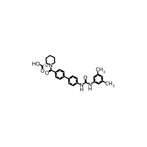 Cc1cc(C)cc(NC(=O)Nc2ccc(-c3ccc(C(=O)N4CCCC[C@H]4C(=O)O)cc3)cc2)c1